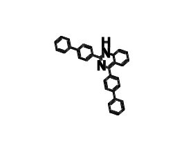 C1=CC2=C(c3ccc(-c4ccccc4)cc3)N=C(c3ccc(-c4ccccc4)cc3)NC2C=C1